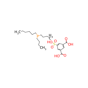 CCCCCCP(CCCC)CCCC.O=C(O)c1cc(C(=O)O)cc(S(=O)(=O)O)c1